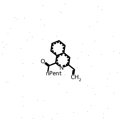 C=Cc1cc2ccccc2c(C(=O)CCCCC)n1